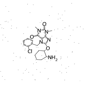 Cn1c(=O)c2c(nc(OC3CCCCC3N)n2Cc2ccccc2Cl)n(C)c1=O